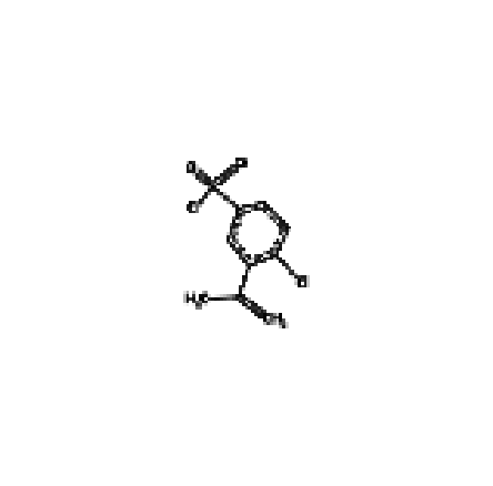 C=C(C)c1cc(S(=O)(=O)Cl)ccc1Cl